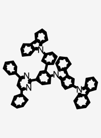 c1ccc(-c2cc(-c3ccccc3)nc(-c3ccc(-n4c5ccccc5c5cc(-n6c7ccccc7c7ccccc76)ccc54)c(-c4cccc(-n5c6ccccc6c6ccccc65)c4)c3)n2)cc1